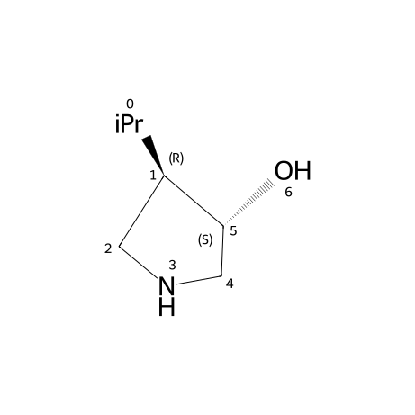 CC(C)[C@@H]1CNC[C@H]1O